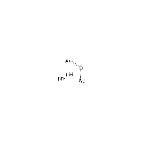 CC(=O)OC(C)=O.[LiH].[Rh]